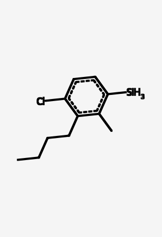 CCCCc1c(Cl)ccc([SiH3])c1C